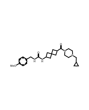 COc1ccc(CNC(=O)NC2CC3(C2)CC(C(=O)N2CCN(CC4CC4)CC2)C3)cc1